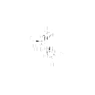 BC(B)(O[PH](=O)N[C@@H](C)C(=O)OC(C)C)C1O[C@@H](n2cc(F)c(=O)[nH]c2=O)C(O)(C#CCF)[C@H]1O